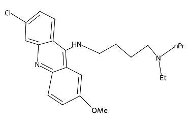 CCCN(CC)CCCCNc1c2ccc(Cl)cc2nc2ccc(OC)cc12